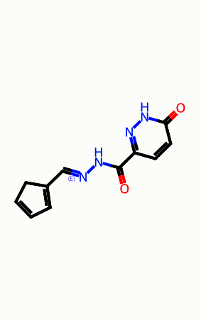 O=C(N/N=C/C1=CC=CC1)c1ccc(=O)[nH]n1